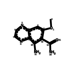 COc1cc2nccnc2c(N)c1C(N)=O